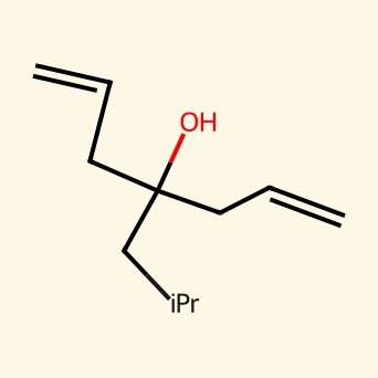 C=CCC(O)(CC=C)CC(C)C